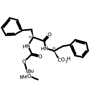 CC(C)(C)OC(=O)N[C@@H](Cc1ccccc1)C(=O)N[C@@H](Cc1ccccc1)C(=O)O.COC